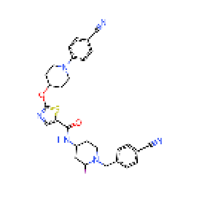 N#Cc1ccc(CN2CCC(NC(=O)c3cnc(OC4CCN(c5ccc(C#N)cc5)CC4)s3)CC2I)cc1